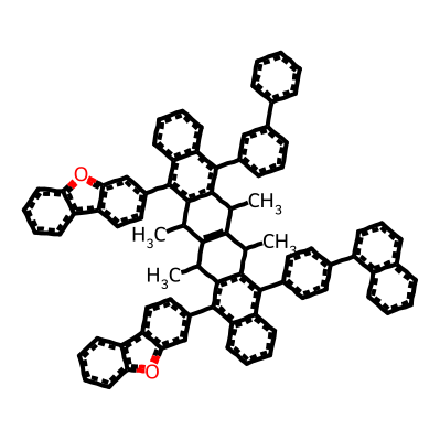 CC1C2=C(C(C)c3c1c(-c1ccc(-c4cccc5ccccc45)cc1)c1ccccc1c3-c1ccc3c(c1)oc1ccccc13)C(C)c1c(c(-c3cccc(-c4ccccc4)c3)c3ccccc3c1-c1ccc3c(c1)oc1ccccc13)C2C